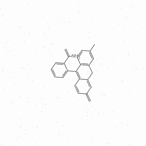 C=C(N)c1ccccc1C1=c2ccc(=C)cc2Cc2cc(C)ccc21